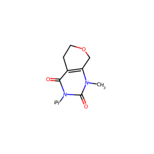 CC(C)n1c(=O)c2c(n(C)c1=O)COCC2